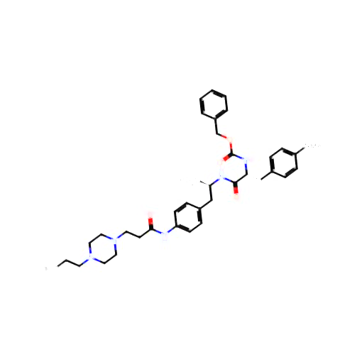 CNc1ccc(C[C@@H](NC(=O)OCc2ccccc2)C(=O)N[C@@H](Cc2ccc(NC(=O)CCN3CCN(CCC=O)CC3)cc2)C(=O)O)cc1